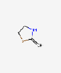 [CH]=C1NCCS1